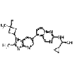 Cc1nc2ncc(-c3ccn4nc(N[C@@H](C)C5CC5)ncc34)cc2n1C1CC(C)(F)C1